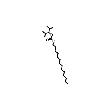 CCCCCCCCCCCCCCOC(=O)OC(C(C)C)C(C)C